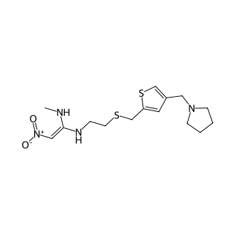 CN/C(=C\[N+](=O)[O-])NCCSCc1cc(CN2CCCC2)cs1